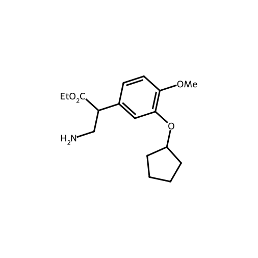 CCOC(=O)C(CN)c1ccc(OC)c(OC2CCCC2)c1